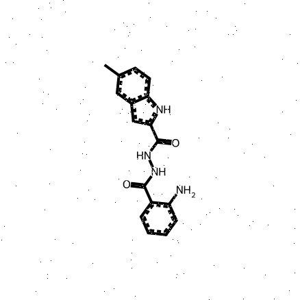 Cc1ccc2[nH]c(C(=O)NNC(=O)c3ccccc3N)cc2c1